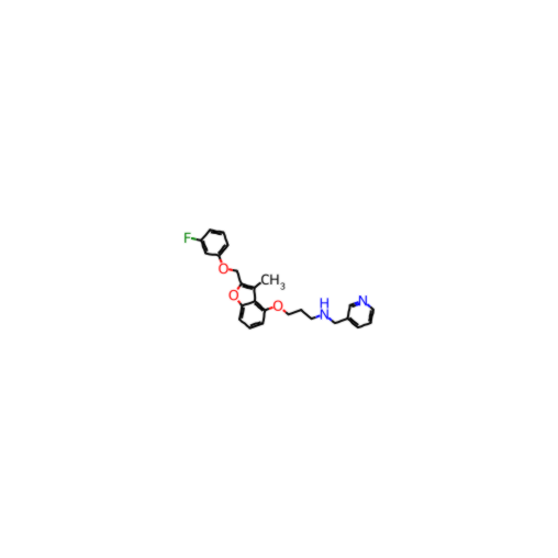 Cc1c(COc2cccc(F)c2)oc2cccc(OCCCNCc3cccnc3)c12